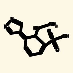 NNC1C(S(=O)(=O)O)=CC=CC1=C1C=NN=C1